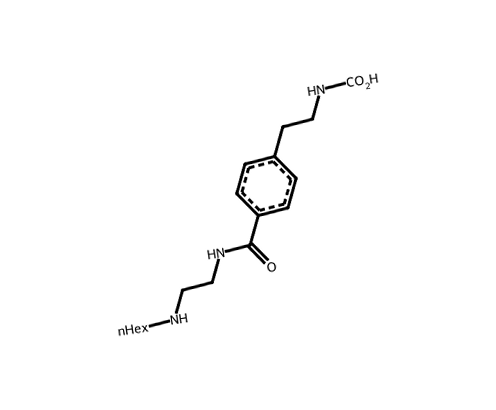 CCCCCCNCCNC(=O)c1ccc(CCNC(=O)O)cc1